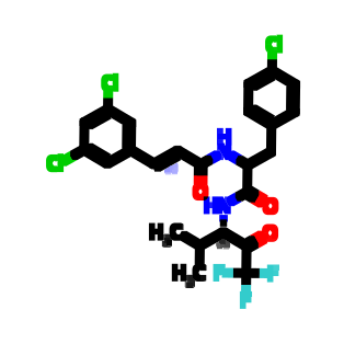 CC(C)[C@H](NC(=O)C(Cc1ccc(Cl)cc1)NC(=O)/C=C/c1cc(Cl)cc(Cl)c1)C(=O)C(F)(F)F